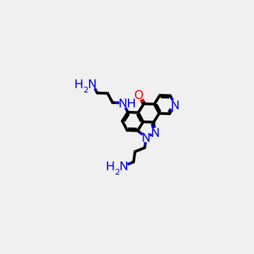 NCCCNc1ccc2c3c(nn2CCCN)-c2cnccc2C(=O)c13